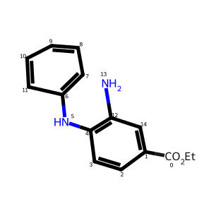 CCOC(=O)c1ccc(Nc2ccccc2)c(N)c1